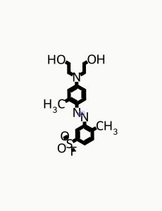 Cc1cc(N(CCO)CCO)ccc1/N=N/c1cc(S(=O)(=O)F)ccc1C